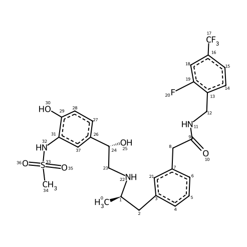 C[C@H](Cc1cccc(CC(=O)NCc2ccc(C(F)(F)F)cc2F)c1)NC[C@@H](O)c1ccc(O)c(NS(C)(=O)=O)c1